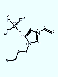 C=C[n+]1ccn(CCCC)c1.F[B-](F)(F)F